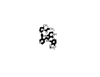 C=CC(=O)N1[C@H](C)CC[C@@H]1C#Cc1cnccc1-c1[nH]c2c(c1Nc1cccc(Cl)c1OC)C(=O)NCC2